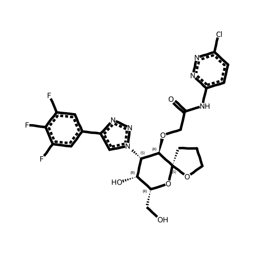 O=C(CO[C@@H]1[C@@H](n2cc(-c3cc(F)c(F)c(F)c3)nn2)[C@@H](O)[C@@H](CO)O[C@@]12CCCO2)Nc1ccc(Cl)nn1